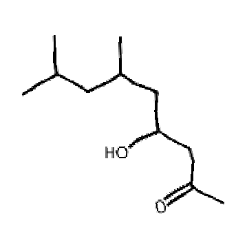 CC(=O)CC(O)CC(C)CC(C)C